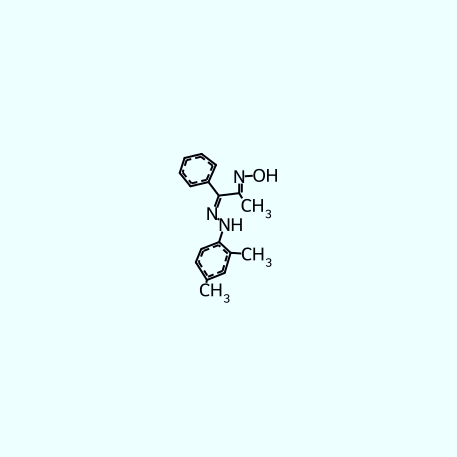 CC(=NO)C(=NNc1ccc(C)cc1C)c1ccccc1